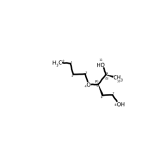 CCCCO[C@H](CCO)[C@H](C)O